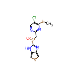 CSc1nc(C[S+]([O-])c2nc3cscc3[nH]2)ncc1Cl